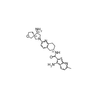 Cc1ccc2c(N)c(C(=O)N[C@H]3CCc4nc(N5C[C@H](N)[C@]6(CCOC6)C5)ccc4C3)sc2n1